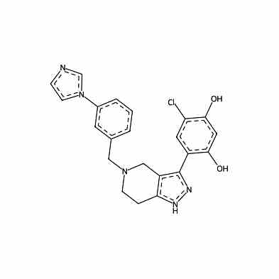 Oc1cc(O)c(-c2n[nH]c3c2CN(Cc2cccc(-n4ccnc4)c2)CC3)cc1Cl